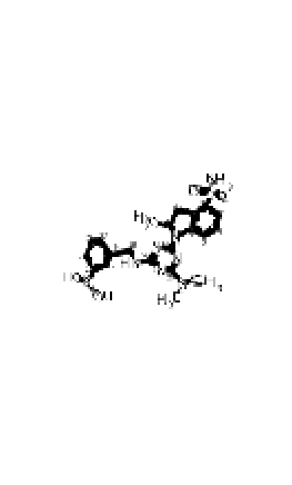 CC1Cc2c(cccc2S(N)(=O)=O)N1c1nc(NCc2cccc(B(O)O)c2)nc(N(C)C)n1